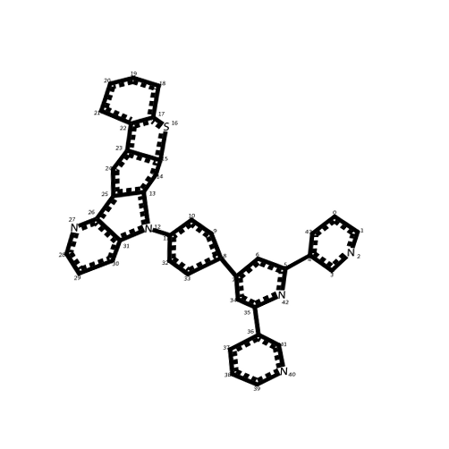 c1cncc(-c2cc(-c3ccc(-n4c5cc6sc7ccccc7c6cc5c5ncccc54)cc3)cc(-c3cccnc3)n2)c1